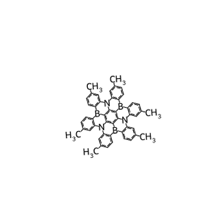 Cc1ccc2c(c1)N1c3cc(C)ccc3B3c4ccc(C)cc4N4c5cc(C)ccc5B5c6ccc(C)cc6N6c7cc(C)ccc7B2c2c1c3c4c5c26